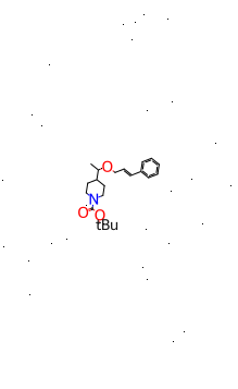 CC(OCC=Cc1ccccc1)C1CCN(C(=O)OC(C)(C)C)CC1